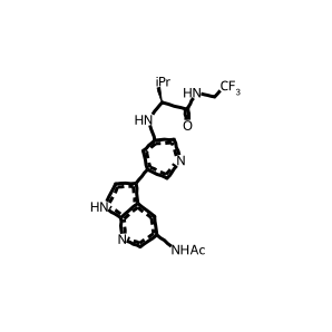 CC(=O)Nc1cnc2[nH]cc(-c3cncc(N[C@H](C(=O)NCC(F)(F)F)C(C)C)c3)c2c1